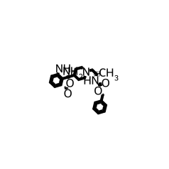 C[C@@H](CN1CCC(C(N)(OC=O)c2ccccc2N)CC1)NC(=O)OCc1ccccc1